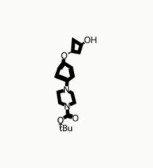 CC(C)(C)OC(=O)N1CCN(c2ccc(O[C@H]3C[C@H](O)C3)cc2)CC1